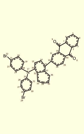 O=C1c2ccccc2C(=O)c2cc(-c3ccc(N(c4ccc(Br)cc4)c4ccc(Br)cc4)c4ccccc34)ccc21